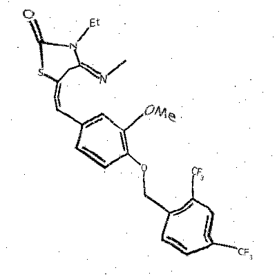 CCN1C(=O)SC(=Cc2ccc(OCc3ccc(C(F)(F)F)cc3C(F)(F)F)c(OC)c2)C1=NC